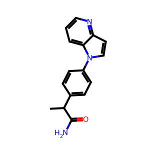 CC(C(N)=O)c1ccc(-n2ccc3ncccc32)cc1